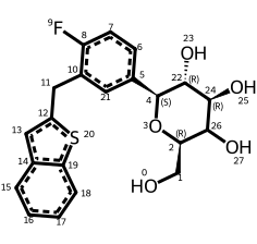 OC[C@H]1O[C@@H](c2ccc(F)c(Cc3cc4ccccc4s3)c2)[C@H](O)[C@@H](O)C1O